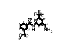 COC(=O)c1cccc(C(=O)Nc2cc(CN)cc(C(F)(F)F)n2)c1